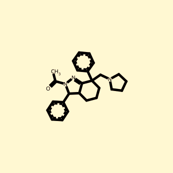 CC(=O)N1N=C2C(CCCC2(CN2CCCC2)c2ccccc2)C1c1ccccc1